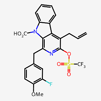 C=CCc1c(OS(=O)(=O)C(F)(F)F)nc(Cc2ccc(OC)c(F)c2)c2c1c1ccccc1n2C(=O)O